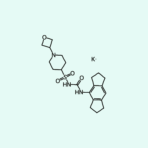 O=C(Nc1c2c(cc3c1CCC3)CCC2)NS(=O)(=O)C1CCN(C2COC2)CC1.[K]